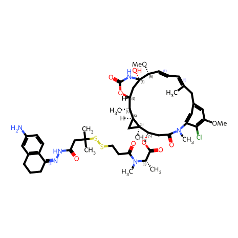 COc1cc2cc(c1Cl)N(C)C(=O)C[C@H](OC(=O)[C@H](C)N(C)C(=O)CCSSC(C)(C)CC(=O)N/N=C1/CCCc3cc(N)ccc31)[C@@]1(C)C[C@H]1[C@H](C)[C@@H]1C[C@@](O)(NC(=O)O1)[C@H](OC)/C=C/C=C(\C)C2